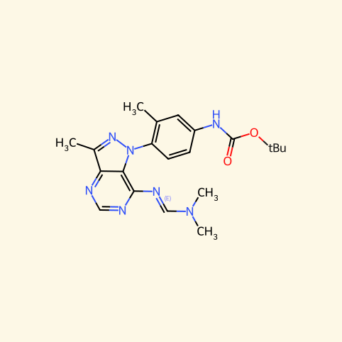 Cc1cc(NC(=O)OC(C)(C)C)ccc1-n1nc(C)c2ncnc(/N=C/N(C)C)c21